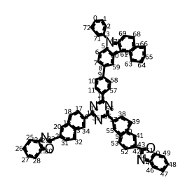 c1ccc(-n2c3ccc(-c4ccc(-c5nc(-c6ccc7cc(-c8nc9ccccc9o8)ccc7c6)nc(-c6ccc7cc(-c8nc9ccccc9o8)ccc7c6)n5)cc4)cc3c3c4ccccc4ccc32)cc1